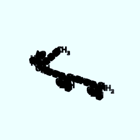 CN1CCN(C2CCN(c3ccc(Nc4nc(NC5CCOCC56CC6)c(-c5ccccn5)nc4C(=O)NCN4CC5(CCN(C6CCN(c7ccc(Nc8nc(N9CCC9%10CCOCC%10)c(-c9ccccn9)nc8C(=O)NCN8CCC9(CC8)CN(C8CCN(c%10ccc(Nc%11nc(N%12CCC%12%13CCOCC%13)c(-c%12ccccn%12)nc%11C(N)=O)cc%10)CC8)C9)cc7)CC6)CC5)C4)cc3)CC2)CC1